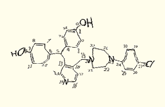 Oc1ccc(C(c2ccc(O)cc2)c2cnccc2CN2CCN(c3ccc(Cl)cc3)CC2)cc1